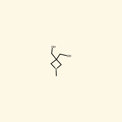 CN1CC(CO)(CO)C1